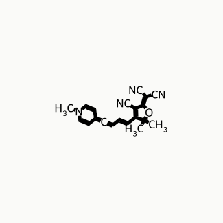 CN1C=CC(=C=CC=CC2=C(C#N)C(=C(C#N)C#N)OC2(C)C)C=C1